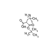 CC(N)(I)CC(C(=O)O)C(=O)OC(C)(C)C